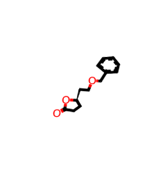 O=C1CC[C@H](CCOCc2ccccc2)O1